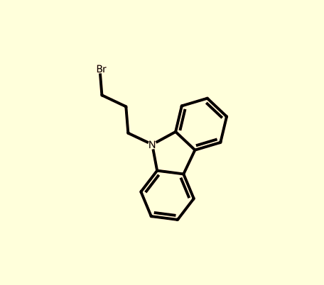 BrCCCn1c2ccccc2c2ccccc21